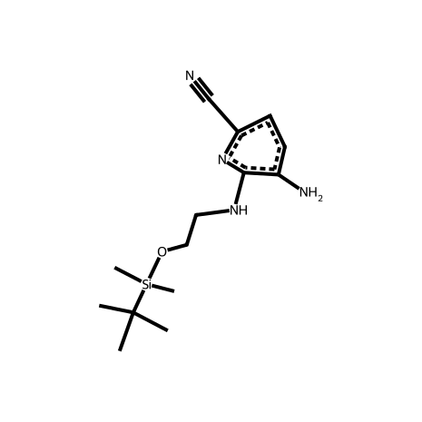 CC(C)(C)[Si](C)(C)OCCNc1nc(C#N)ccc1N